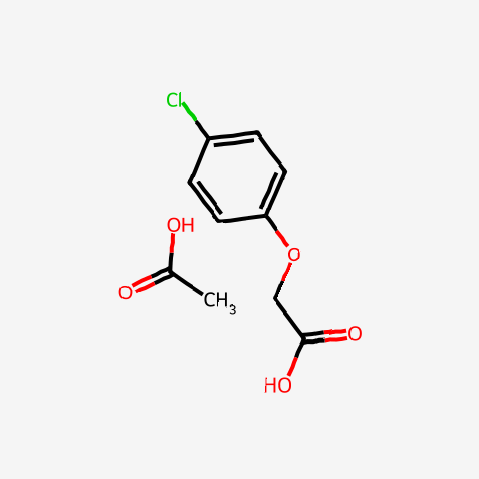 CC(=O)O.O=C(O)COc1ccc(Cl)cc1